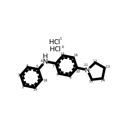 Cl.Cl.c1ccc(Nc2ccc(N3CCCC3)cc2)cc1